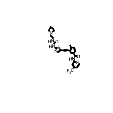 Cc1ccc(C(=O)Nc2cc(C(F)(F)F)ccn2)cc1C#Cc1cnc(NC(=O)NCCN2CCCC2)s1